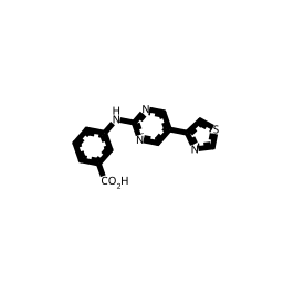 O=C(O)c1cccc(Nc2ncc(-c3cscn3)cn2)c1